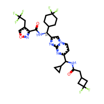 O=C(CC1CC(F)(F)C1)NC(c1ccn2cc([C@@H](NC(=O)c3nocc3CC(F)(F)F)C3CCC(F)(F)CC3)nc2n1)C1CC1